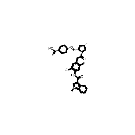 C[C@H]1C[C@@H](CO[C@H]2CC[C@H](C(=O)O)CC2)N(C(=O)Cc2cc(Cl)c(NC(=O)c3cn(C)c4ccccc34)cc2F)C1